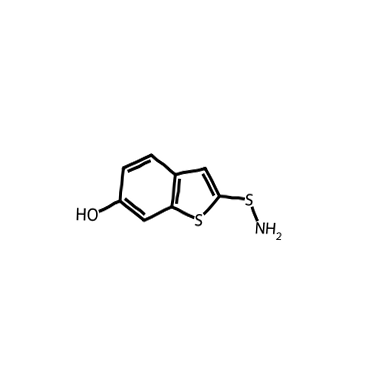 NSc1cc2ccc(O)cc2s1